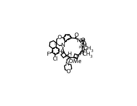 CO[C@@]1(CN2CCOCC2)C2=C[C@@H](C2)[C@H](C)[C@@H](C)S(=O)(=O)NC(=O)c2ccc3c(c2)N(C[C@@H]2CC[C@H]21)C[C@@]1(CCCc2c1ccc(Cl)c2F)CO3